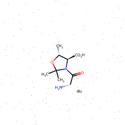 CC[C@H](C)[C@H](N)C(=O)N1[C@H](C(=O)O)[C@@H](C)OC1(C)C